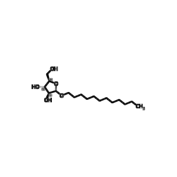 CCCCCCCCCCCCOC1O[C@H](CO)[C@@H](O)[C@@H]1O